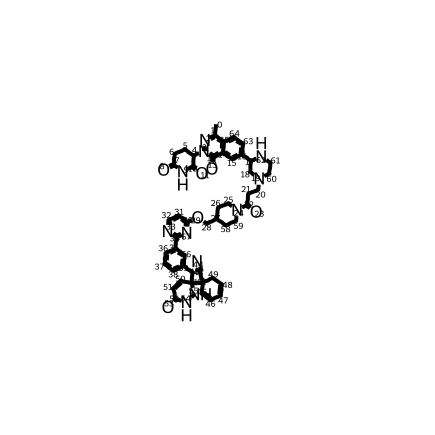 Cc1nn(C2CCC(=O)NC2=O)c(=O)c2cc(C3CN(CCC(=O)N4CCC(COc5ccnc(-c6cccc(CC7(C8(C#N)C=CC=CC8)C=CC(=O)NN7)c6)n5)CC4)CCN3)ccc12